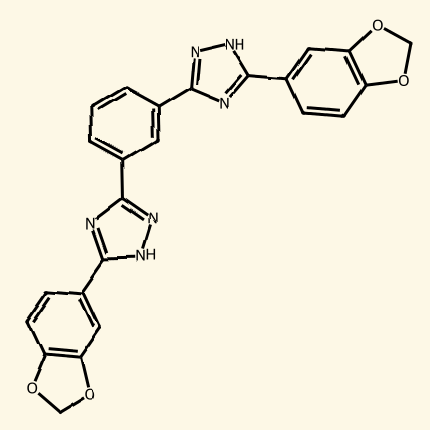 c1cc(-c2n[nH]c(-c3ccc4c(c3)OCO4)n2)cc(-c2n[nH]c(-c3ccc4c(c3)OCO4)n2)c1